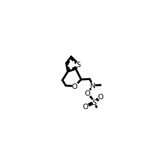 CN(CC1OCCc2ccsc21)OS(C)(=O)=O